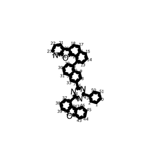 c1ccc(-c2nc(-c3ccc4c(-c5cccc6ccc7c8cccnc8oc7c56)cccc4c3)nc(-c3cccc4oc5ccccc5c34)n2)cc1